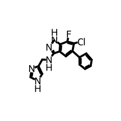 Fc1c(Cl)c(-c2ccccc2)cc2c(NCc3c[nH]cn3)n[nH]c12